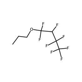 CCCOC(F)(F)C(F)C(F)(F)C(F)(F)F